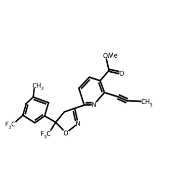 CC#Cc1nc(C2=NOC(c3cc(C)cc(C(F)(F)F)c3)(C(F)(F)F)C2)ccc1C(=O)OC